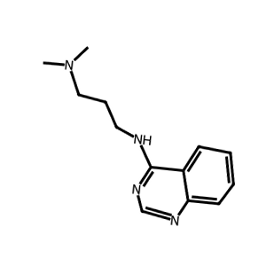 CN(C)CCCNc1ncnc2ccccc12